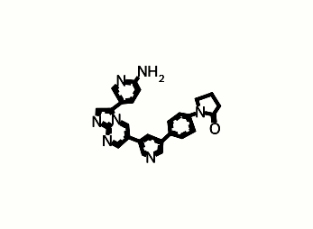 Nc1ccc(-c2cnc3ncc(-c4cncc(-c5ccc(N6CCCC6=O)cc5)c4)cn23)cn1